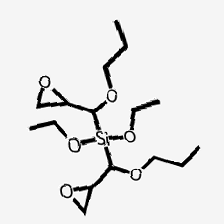 CCCOC(C1CO1)[Si](OCC)(OCC)C(OCCC)C1CO1